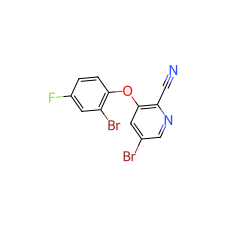 N#Cc1ncc(Br)cc1Oc1ccc(F)cc1Br